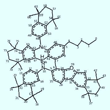 CCCCCc1cc(-c2c(Nc3ccc4c(c3)C(C)(C)CCC4(C)C)ccc3c2oc2cc4c(cc23)C(C)(C)CCC4(C)C)c2c(c1)N(c1ccc3c(c1)C(C)(C)CCC3(C)C)c1cc3c(cc1B2)C(C)(C)CCC3(C)C